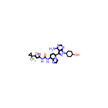 Nc1ncnc2c1c(-c1ccc(NC(=O)Nc3cc(C4(C(F)(F)F)CC4)on3)c3nccn13)nn2C1CCC(O)CC1